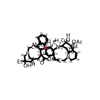 CCC1(O)C[C@H]2CN(CCc3c([nH]c4ccccc34)[C@@](C(=O)OC)(c3cc4c(cc3OC)N(C)C3C[C@H]5N(CC=C[C@@]5(CC)[C@@H](OC(C)=O)[C@@]3(C)O)CCC4)C2)C1